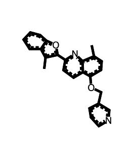 Cc1c(-c2ccc3c(OCc4cccnc4)ccc(C)c3n2)oc2ccccc12